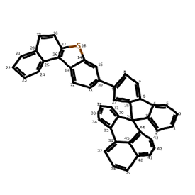 c1ccc2c(c1)-c1ccc(-c3ccc4c(c3)sc3ccc5ccccc5c34)cc1C21c2ccccc2-c2cccc3cccc1c23